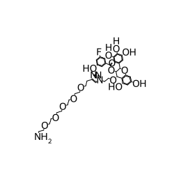 NCCOCCOCCOCCOCCOCCc1cn(CCOC2c3c(O)cc(O)cc3OC(c3cc(O)c(O)c(O)c3)C2OC(=O)c2cc(O)cc(F)c2)nn1